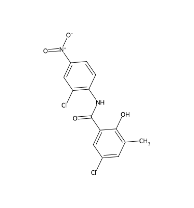 Cc1cc(Cl)cc(C(=O)Nc2ccc([N+](=O)[O-])cc2Cl)c1O